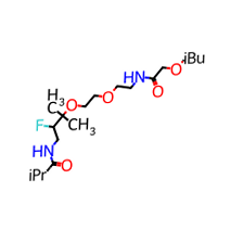 CCC(C)OCC(=O)NCCOCCOC(C)(C)C(F)CNC(=O)C(C)C